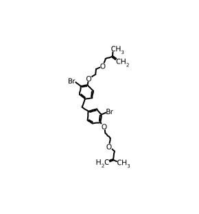 C=C(C)COCCOc1ccc(Cc2ccc(OCCOCC(=C)C)c(Br)c2)cc1Br